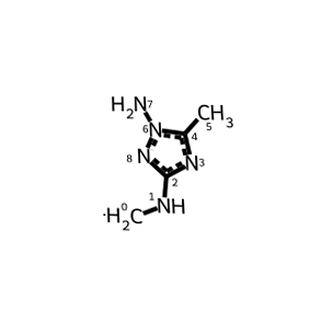 [CH2]Nc1nc(C)n(N)n1